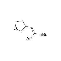 CCCCC(=CC1CCOC1)C(C)=O